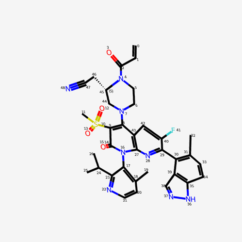 C=CC(=O)N1CCN(c2c(S(C)(=O)=O)c(=O)n(-c3c(C)ccnc3C(C)C)c3nc(-c4c(C)ccc5[nH]ncc45)c(F)cc23)C[C@@H]1CC#N